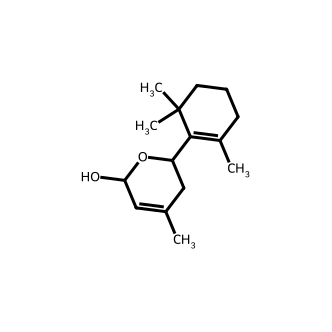 CC1=CC(O)OC(C2=C(C)CCCC2(C)C)C1